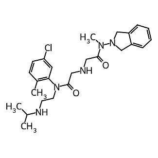 Cc1ccc(Cl)cc1N(CCNC(C)C)C(=O)CNCC(=O)N(C)N1Cc2ccccc2C1